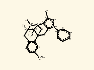 COc1ccc2c(c1)[C@]13CCN(C)[C@H](C2)[C@]1(O)Cc1c(C)nn(-c2ccccc2)c1C3